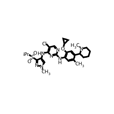 Cc1cc(Nc2ncc(Cl)c(Nc3cn(C)nc3S(=O)(=O)C(C)C)n2)c(OC2CC2)cc1C1CCCCN1C